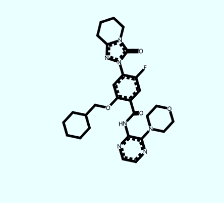 O=C(Nc1nccnc1N1CCOCC1)c1cc(F)c(-n2nc3n(c2=O)CCCC3)cc1OCC1CCCCC1